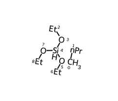 CCCC.CCO[SiH](OCC)OCC